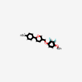 CCCCC1CCC(C2CCC(COc3ccc(OCCC)c(F)c3F)CO2)CC1